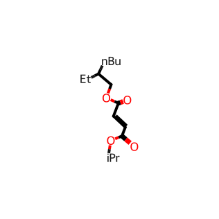 CCCCC(CC)COC(=O)C=CC(=O)OC(C)C